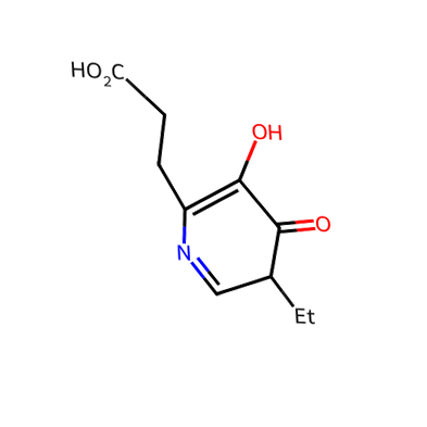 CCC1C=NC(CCC(=O)O)=C(O)C1=O